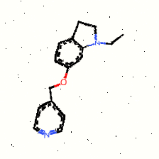 CCN1CCc2ccc(OCc3ccncc3)cc21